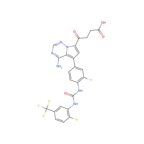 Nc1ncnn2c(C(=O)CCC(=O)O)cc(-c3ccc(NC(=O)Nc4cc(C(F)(F)F)ccc4F)c(F)c3)c12